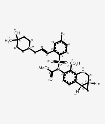 COC(=O)N(c1ccc2c(c1C(=O)O)OC[C@@H]1C[C@H]21)S(=O)(=O)c1ccc(F)cc1C=CCN1CCC(C)(O)CC1